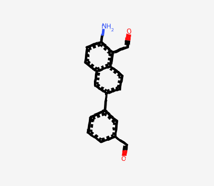 Nc1ccc2cc(-c3cccc(C=O)c3)ccc2c1C=O